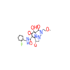 COCCN1CN2CC(OC)c3c(C(=O)NCc4ccccc4F)c(=O)c(O)c(n32)C1=O